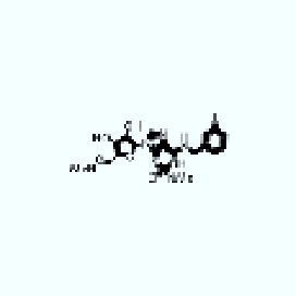 CNOC[C@H]1O[C@@H](n2cnc3c2=NC(Cl)(NC)NC=3NCc2cccc(I)c2)[C@H](O)[C@@H]1O